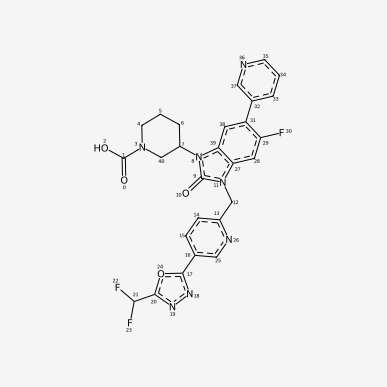 O=C(O)N1CCCC(n2c(=O)n(Cc3ccc(-c4nnc(C(F)F)o4)cn3)c3cc(F)c(-c4cccnc4)cc32)C1